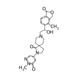 Cc1c(C(O)CN2CCC3(CC2)CCN(c2cnn(C)c(=O)c2)C3=O)ccc2c1COC2=O